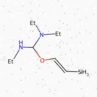 CCNC(OC=C[SiH3])N(CC)CC